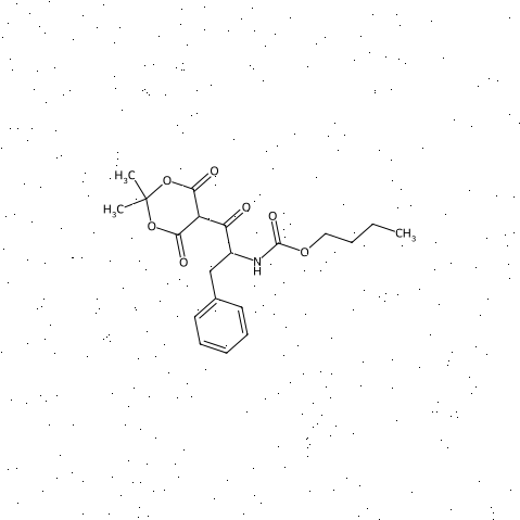 CCCCOC(=O)NC(Cc1ccccc1)C(=O)C1C(=O)OC(C)(C)OC1=O